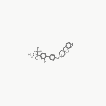 CC(O)(c1ccc(-c2ccc(CN3CCC4(CC3)Cc3ccncc3O4)cc2)c(F)c1)C(F)(F)F